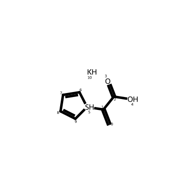 C=C(C(=O)O)[SH]1C=CC=C1.[KH]